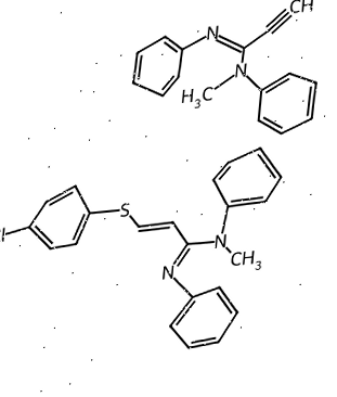 C#CC(=Nc1ccccc1)N(C)c1ccccc1.CN(C(C=CSc1ccc(Cl)cc1)=Nc1ccccc1)c1ccccc1